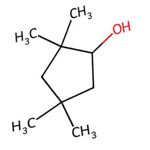 CC1(C)CC(O)C(C)(C)C1